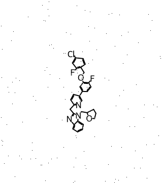 Fc1cc(Cl)ccc1COc1cc(-c2ccc(Cc3nc4ccccc4n3CC3CCCO3)nc2)ccc1F